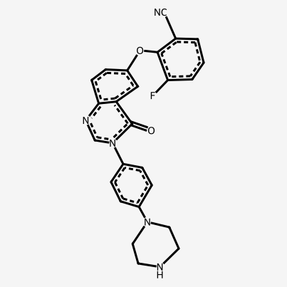 N#Cc1cccc(F)c1Oc1ccc2ncn(-c3ccc(N4CCNCC4)cc3)c(=O)c2c1